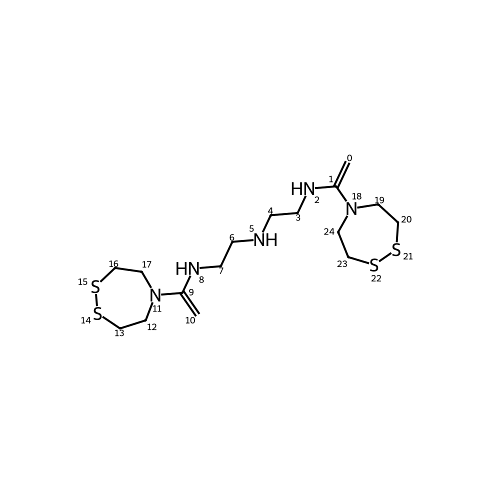 C=C(NCCNCCNC(=C)N1CCSSCC1)N1CCSSCC1